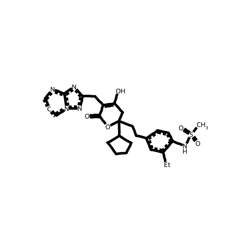 CCc1cc(CCC2(C3CCCC3)CC(O)=C(Cc3nc4ncccn4n3)C(=O)O2)ccc1NS(C)(=O)=O